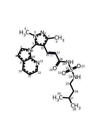 Cc1nn(C)c(-n2ccc3cccnc32)c1/C=C/C(=O)NS(=O)(=O)NCCC(C)C